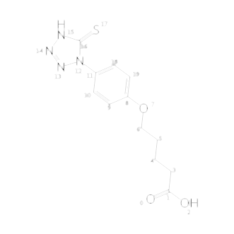 O=C(O)CCCCOc1ccc(-n2nn[nH]c2=S)cc1